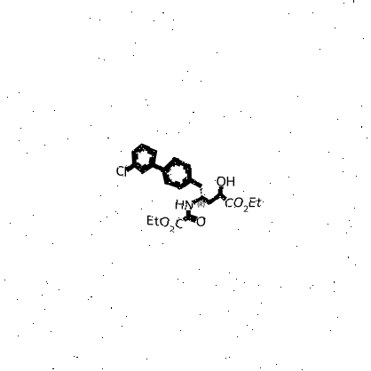 CCOC(=O)C(=O)N[C@H](Cc1ccc(-c2cccc(Cl)c2)cc1)CC(O)C(=O)OCC